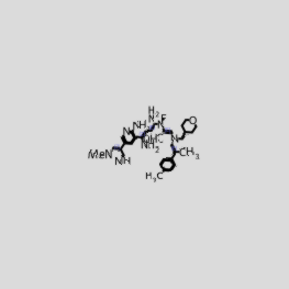 CN/C=C(\C=N)c1cnc(N)c(/C(N)=C/C=C(\N)N(F)/C(C=O)=C/N(/C=C(\C)c2ccc(C)cc2)CC2CCOCC2)c1